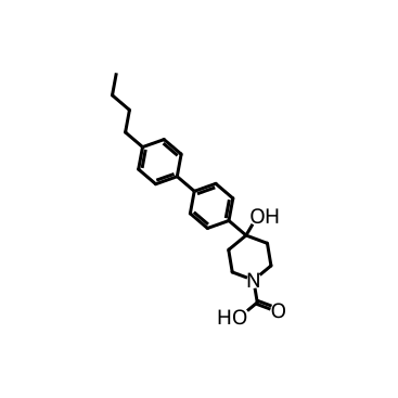 CCCCc1ccc(-c2ccc(C3(O)CCN(C(=O)O)CC3)cc2)cc1